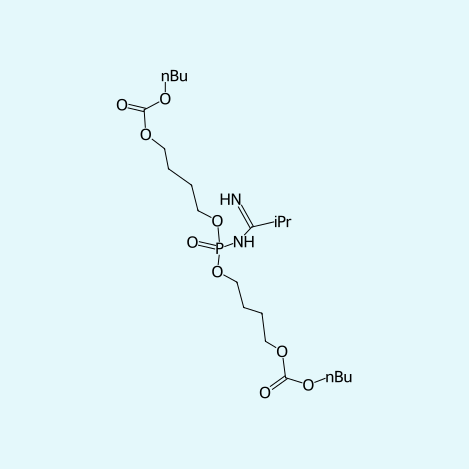 CCCCOC(=O)OCCCCOP(=O)(NC(=N)C(C)C)OCCCCOC(=O)OCCCC